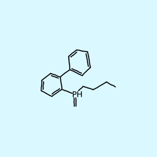 C=[PH](CCCC)c1ccccc1-c1ccccc1